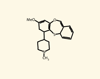 COC1=CC2=C(SC3C=CC=CC3=CO2)C(C2CCN(C)CC2)C1